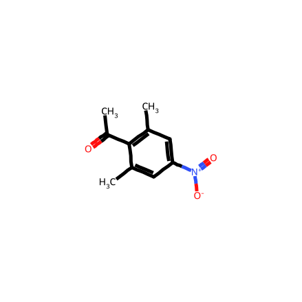 CC(=O)c1c(C)cc([N+](=O)[O-])cc1C